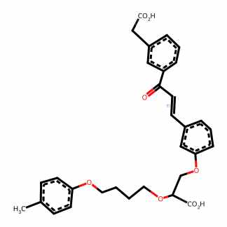 Cc1ccc(OCCCCOC(COc2cccc(/C=C/C(=O)c3cccc(CC(=O)O)c3)c2)C(=O)O)cc1